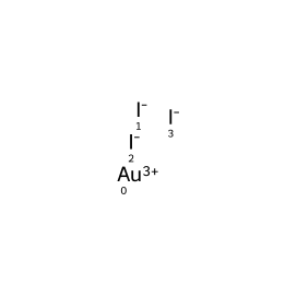 [Au+3].[I-].[I-].[I-]